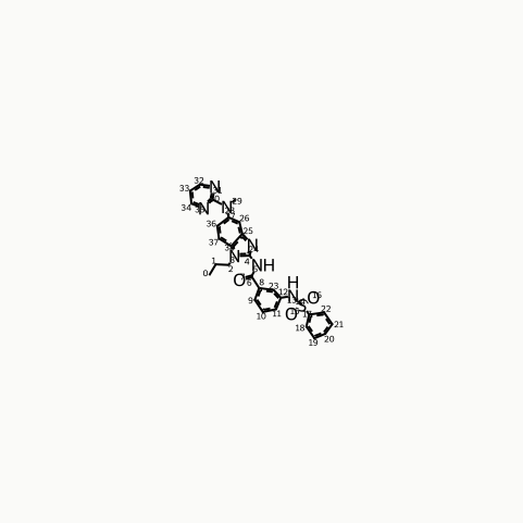 CCCn1c(NC(=O)c2cccc(NS(=O)(=O)c3ccccc3)c2)nc2cc(N(C)c3ncccn3)ccc21